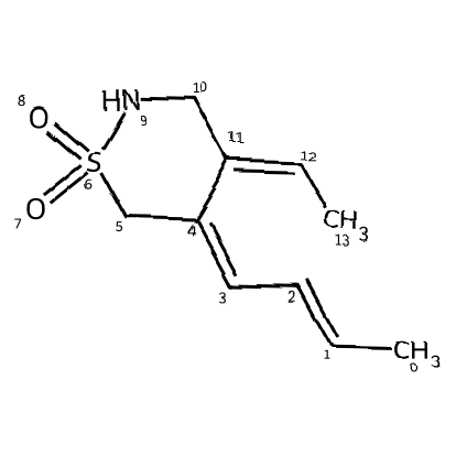 C/C=C/C=C1/CS(=O)(=O)NC/C1=C/C